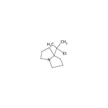 CCC(C)(C)C12CCCN1CCC2